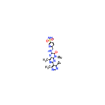 CC[C@@H](C)n1c(=O)c(NCc2ccc(S(N)(=O)=O)cn2)nc2c(C)nc(-c3c(C)ncnc3C3CC3)nc21